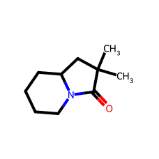 CC1(C)CC2CCCCN2C1=O